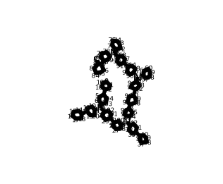 c1ccc(-c2ccc(N(c3ccc(-c4ccccc4)cc3)c3ccc(-c4cccc(N(c5ccc(-c6ccccc6)cc5)c5ccc(-c6ccc(-c7ccc(N(c8ccccc8)c8ccc(-c9ccc(N(c%10ccccc%10)c%10ccc%11sc%12ccccc%12c%11c%10)cc9)cc8)cc7)cc6)cc5)c4)cc3)cc2)cc1